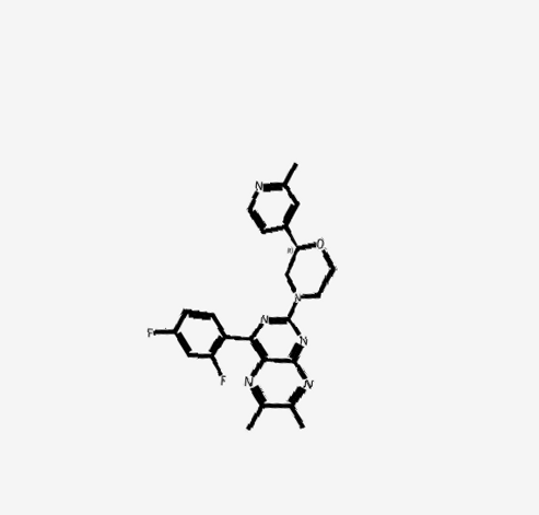 Cc1cc([C@@H]2CN(c3nc(-c4ccc(F)cc4F)c4nc(C)c(C)nc4n3)CCO2)ccn1